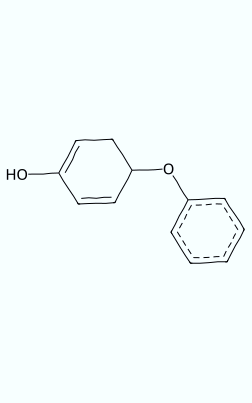 OC1=CCC(Oc2ccccc2)C=C1